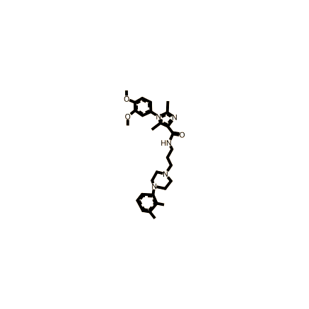 COc1ccc(-n2c(C)nc(C(=O)NCCCN3CCN(c4cccc(C)c4C)CC3)c2C)cc1OC